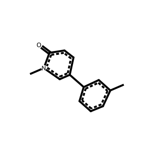 Cc1cccc(-c2ccc(=O)n(C)c2)c1